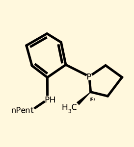 CCCCCPc1ccccc1P1CCC[C@H]1C